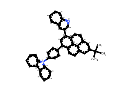 CC(C)(C)c1cc2ccc3c(-c4ccc(-n5c6ccccc6c6ccccc65)cc4)cc(-c4cnc5ccccc5c4)c4ccc(c1)c2c34